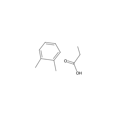 CCC(=O)O.Cc1ccccc1C